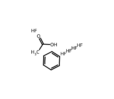 CC(=O)O.F.F.F.F.F.c1ccccc1